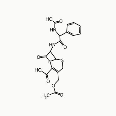 CC(=O)OCC1=C(C(=O)O)N2C(=O)C(NC(=O)C(NC(=O)O)c3ccccc3)C2SC1